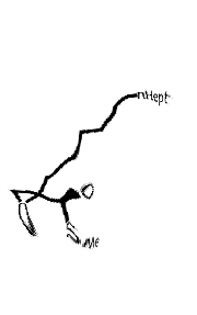 CCCCCCCCCCCCC1(C(=O)SC)CO1